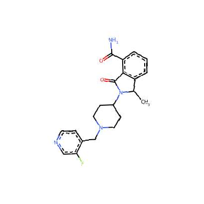 CC1c2cccc(C(N)=O)c2C(=O)N1C1CCN(Cc2ccncc2F)CC1